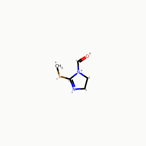 CSC1=NCCN1C=O